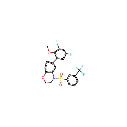 COc1c(F)cc(F)cc1-c1ccc2c(c1)N(S(=O)(=O)c1cccc(C(F)(F)F)c1)CCO2